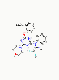 CSc1ccccc1Oc1nc(N2CCOCC2)nc(-n2c(C(F)F)nc3ccccc32)n1